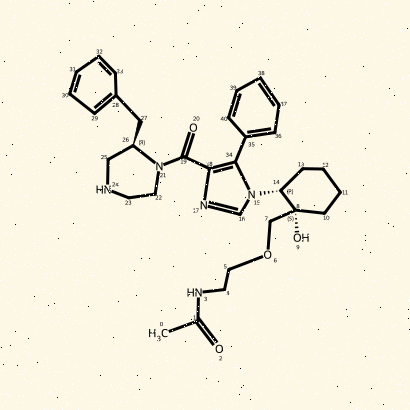 CC(=O)NCCOC[C@]1(O)CCCC[C@H]1n1cnc(C(=O)N2CCNC[C@H]2Cc2ccccc2)c1-c1ccccc1